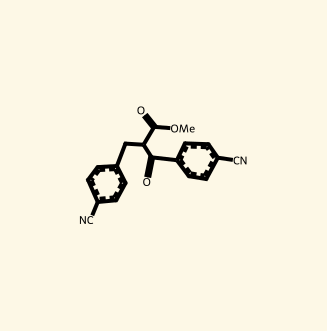 COC(=O)C(Cc1ccc(C#N)cc1)C(=O)c1ccc(C#N)cc1